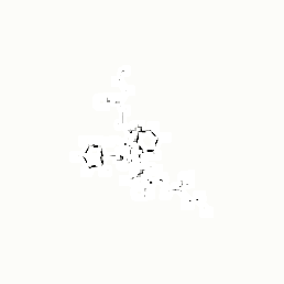 CCCC(Cl)CCC(Cl)C(C)(C)[SiH](O[SiH](c1ccccc1)C(C)(C)C(Cl)CCC(Cl)CCC)c1ccccc1